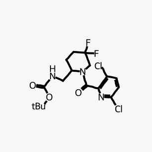 CC(C)(C)OC(=O)NCC1CCC(F)(F)CN1C(=O)c1nc(Cl)ccc1Cl